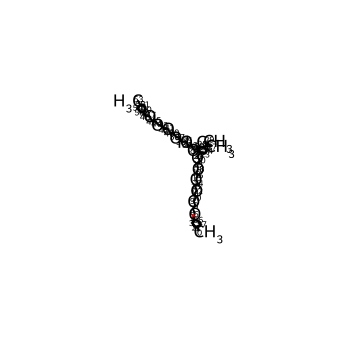 Cc1ccc(COCCOCCOCCOCCOCCOc2ccc(C(C)(C)C)cc2OCCOCCOCCOCCOCCOCc2ccc(C)cc2)cc1